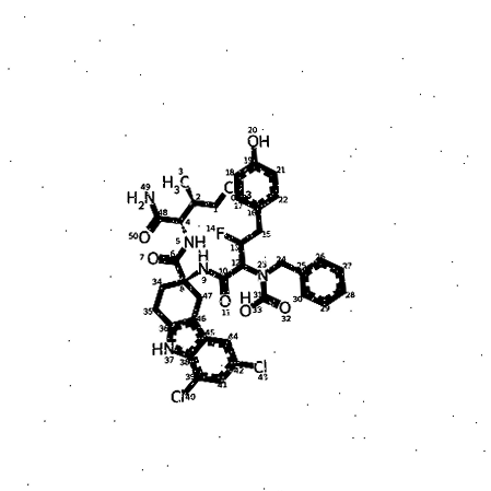 CC[C@H](C)[C@H](NC(=O)[C@@]1(NC(=O)C(C(F)Cc2ccc(O)cc2)N(Cc2ccccc2)C(=O)O)CCc2[nH]c3c(Cl)cc(Cl)cc3c2C1)C(N)=O